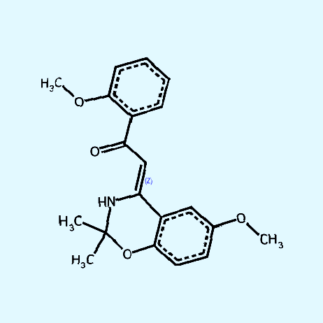 COc1ccc2c(c1)/C(=C/C(=O)c1ccccc1OC)NC(C)(C)O2